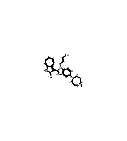 O=c1[nH]c2cccccc-2c1-c1nc2cc(N3CCCNCC3)ccc2n1CCCF